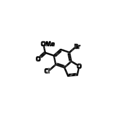 COC(=O)c1cc(Br)c2occc2c1Cl